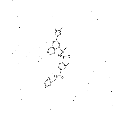 Cc1cc(C(=O)NCc2cscn2)ccc1C(=O)N[C@H](C)c1cc(-c2cnn(C)c2)nc2ccccc12